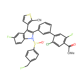 COC(=O)c1cc(Cl)c(-c2cccc(-c3c(-c4ccsc4C#N)c4cc(F)ccc4n3[S+]([O-])c3ccc(CF)cc3)c2)cc1F